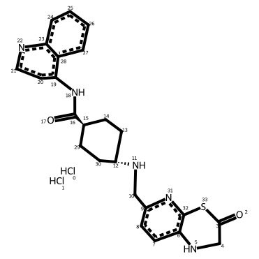 Cl.Cl.O=C1CNc2ccc(CN[C@H]3CC[C@H](C(=O)Nc4ccnc5ccccc45)CC3)nc2S1